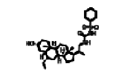 CC[C@H]1C[C@@H]2[C@H](CC[C@]3(C)[C@@H]([C@H](C)CNC(=O)NS(=O)(=O)C4CCCCC4)CC[C@@H]23)[C@@]2(C)CC[C@@H](O)C[C@@H]12